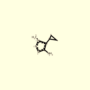 Cn1nnc(N)c1C1CC1